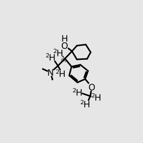 [2H]C([2H])([2H])Oc1ccc([C@]([2H])(C2(O)CCCCC2)C([2H])([2H])N(C)C)cc1